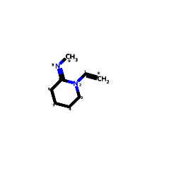 C=CN1CCCC/C1=N/C